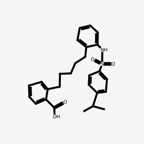 CC(C)c1ccc(S(=O)(=O)Nc2ccccc2CCCCCc2ccccc2C(=O)O)cc1